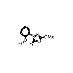 CCOc1ccccc1-n1nc(OC)oc1=O